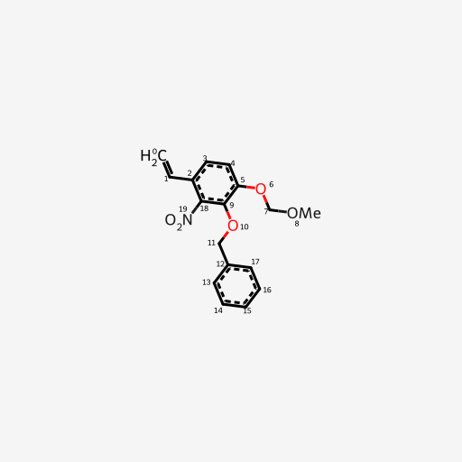 C=Cc1ccc(OCOC)c(OCc2ccccc2)c1[N+](=O)[O-]